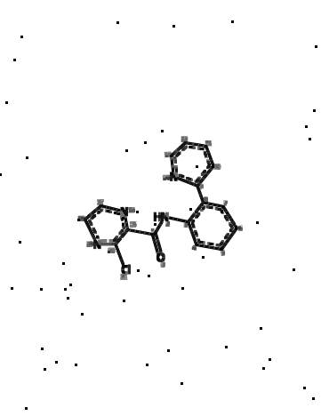 O=C(Nc1ccccc1-c1ccccn1)c1nccnc1Cl